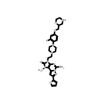 Cn1c(=O)n(CCN2CCN(c3ccc(OCC4CNCCO4)cc3F)CC2)c2nc(N)n3nc(-c4ccco4)cc3c21